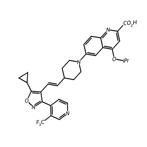 CC(C)Oc1cc(C(=O)O)nc2ccc(N3CCC(/C=C/c4c(-c5ccncc5C(F)(F)F)noc4C4CC4)CC3)cc12